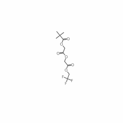 CC(C)(C)C(=O)OCC(=O)OCC(=O)OCC(F)(F)F